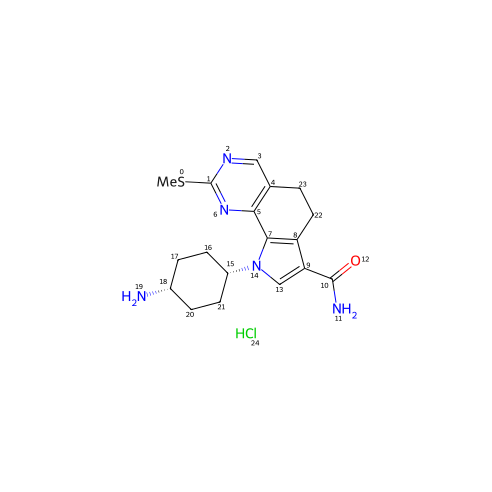 CSc1ncc2c(n1)-c1c(c(C(N)=O)cn1[C@H]1CC[C@@H](N)CC1)CC2.Cl